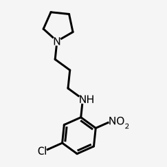 O=[N+]([O-])c1ccc(Cl)cc1NCCCN1CCCC1